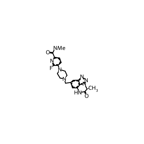 CNC(=O)c1ccc(N2CCN(Cc3cc4c5c(c3)nnn5[C@H](C)C(=O)N4)CC2)c(F)n1